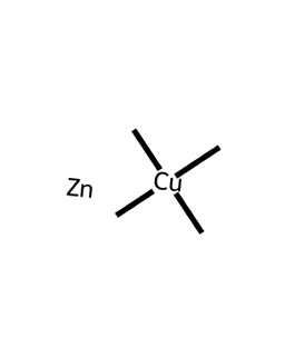 [CH3][Cu]([CH3])([CH3])[CH3].[Zn]